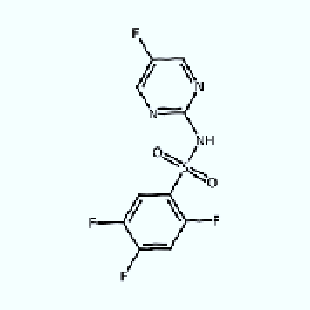 O=S(=O)(Nc1ncc(F)cn1)c1cc(F)c(F)cc1F